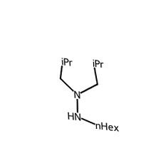 CCCCCCNN(CC(C)C)CC(C)C